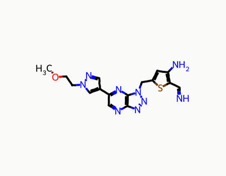 COCCn1cc(-c2cnc3nnn(Cc4cc(N)c(C=N)s4)c3n2)cn1